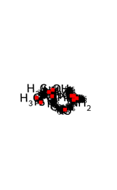 Cc1ncsc1-c1ccc([C@H](C)NC(=O)[C@@H]2C[C@@H](O)CN2C(=O)[C@@H](c2cc(OCCN3CCC(O[C@H]4C[C@H](CCc5cc(N6C7CCC6CN(c6cc(-c8ccccc8O)nnc6N)C7)ccn5)C4)CC3)no2)C(C)C)cc1